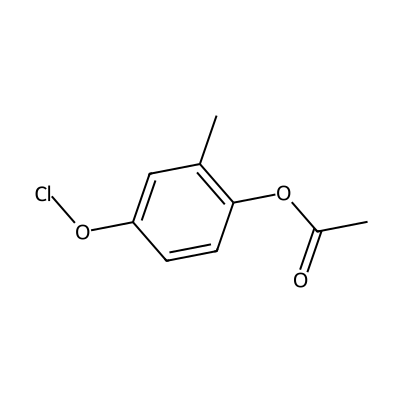 CC(=O)Oc1ccc(OCl)cc1C